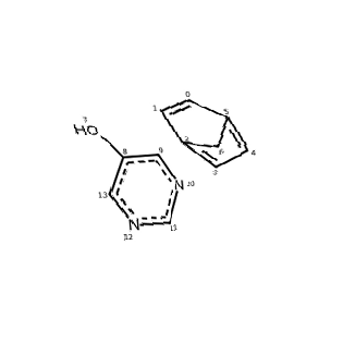 C1=CC2=CC=C1C2.Oc1cncnc1